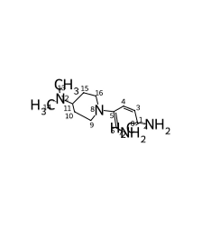 C=C(N)/C=C\C(=C/N)N1CCC(N(C)C)CC1